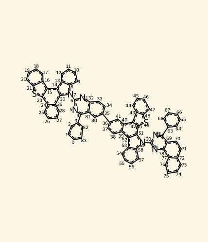 c1ccc(-c2nc(-n3c4ccccc4c4c5c6ccccc6sc5c5ccccc5c43)nc3ccc(-c4ccc5c(c4)c4c6ccccc6sc4c4c5c5ccccc5n4-c4nc(-c5ccccc5)c5ccc6ccccc6c5n4)cc23)cc1